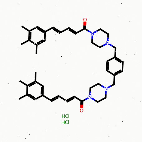 Cc1cc(/C=C/C=C/C(=O)N2CCN(Cc3ccc(CN4CCN(C(=O)/C=C/C=C/c5cc(C)c(C)c(C)c5)CC4)cc3)CC2)cc(C)c1C.Cl.Cl